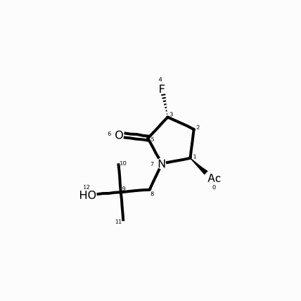 CC(=O)[C@@H]1C[C@@H](F)C(=O)N1CC(C)(C)O